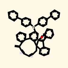 C=C1/C=C\C=C/CC2(c3ccc(N(c4ccc(-c5ccccc5)cc4)c4ccc(-c5ccccc5)cc4)cc3-c3ccccc31)c1ccccc1-c1c2ccc2ccccc12